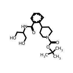 CC(C)(C)OC(=O)N1CCC(c2ccccc2C(=O)NC(CO)CO)CC1